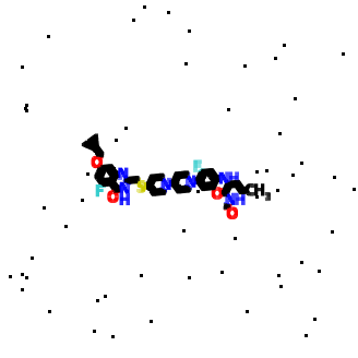 CCCC(Nc1ccc(N2CCC(N3CCC(SCc4nc5cc(OCC6CC6)cc(F)c5c(=O)[nH]4)CC3)CC2)c(F)c1)C(=O)NC=O